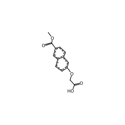 COC(=O)c1ccc2cc(OCC(=O)O)ccc2c1